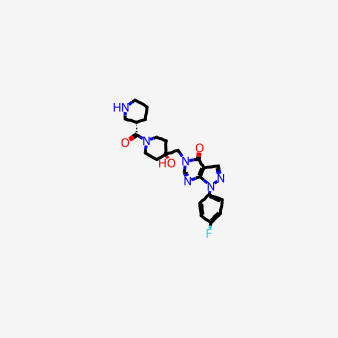 O=C([C@H]1CCCNC1)N1CCC(O)(Cn2cnc3c(cnn3-c3ccc(F)cc3)c2=O)CC1